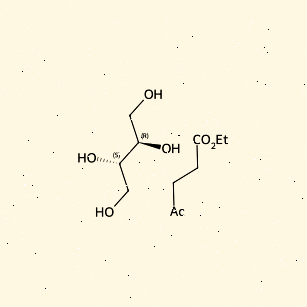 CCOC(=O)CCC(C)=O.OC[C@@H](O)[C@@H](O)CO